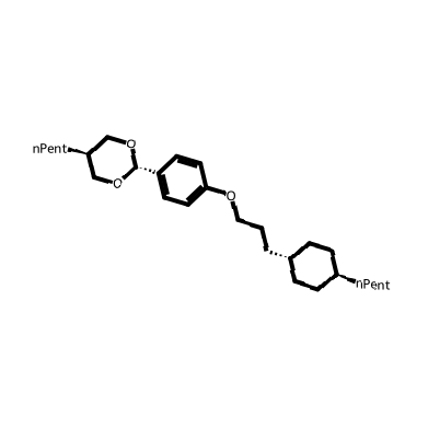 CCCCC[C@H]1CC[C@H](CCCOc2ccc([C@H]3OC[C@H](CCCCC)CO3)cc2)CC1